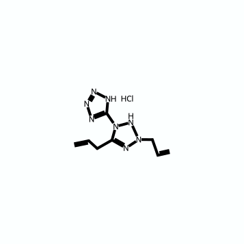 C=CCC1=NN(CC=C)NN1c1nnn[nH]1.Cl